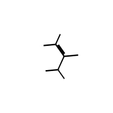 CC(=C(F)C(F)(F)F)C(F)F